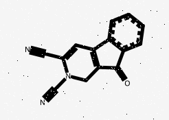 N#CC1=CC2=C(CN1C#N)C(=O)c1ccccc12